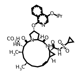 CC(C)Oc1cnc(O[C@@H]2C[C@H]3C(=O)N[C@]4(C(=O)NS(=O)(=O)C5CC5)C[C@H]4/C=C\CC[C@@H](C)C[C@@H](C)[C@H](NC(=O)O)C(=O)N3C2)c2ccccc12